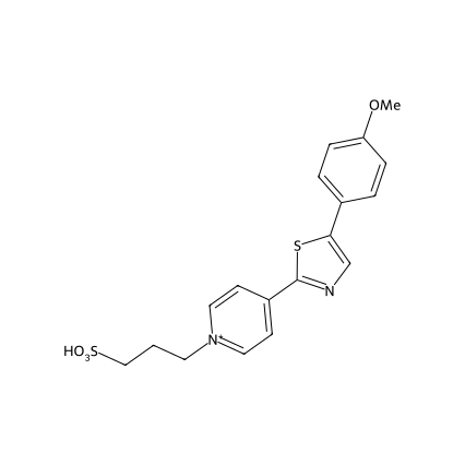 COc1ccc(-c2cnc(-c3cc[n+](CCCS(=O)(=O)O)cc3)s2)cc1